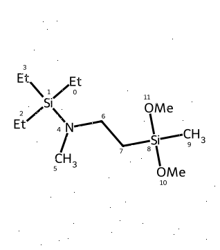 CC[Si](CC)(CC)N(C)CC[Si](C)(OC)OC